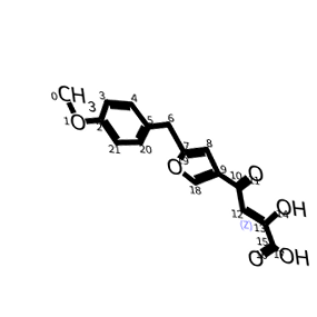 COc1ccc(Cc2cc(C(=O)/C=C(\O)C(=O)O)co2)cc1